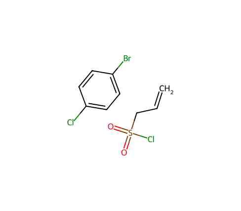 C=CCS(=O)(=O)Cl.Clc1ccc(Br)cc1